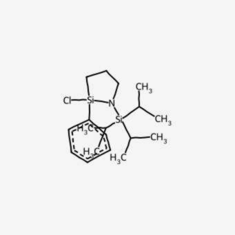 CC(C)[Si](C(C)C)(C(C)C)N1CCC[Si]1(Cl)c1ccccc1